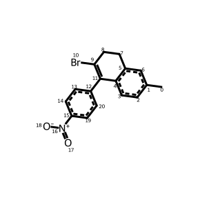 Cc1ccc2c(c1)CCC(Br)=C2c1ccc([N+](=O)[O-])cc1